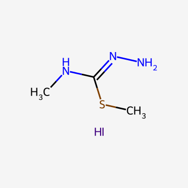 CNC(=NN)SC.I